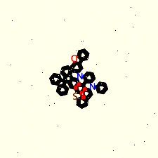 c1ccc(N(c2ccccc2)c2cccc(N(c3ccc4oc5ccccc5c4c3)c3cccc4c3-c3ccccc3C4(c3ccccc3)c3ccccc3)c2-c2ccc3sc4ccccc4c3c2)cc1